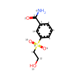 NC(=O)c1cccc(S(=O)(=O)CCO)c1